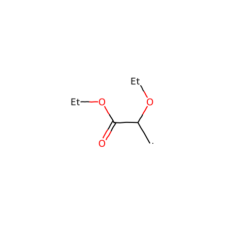 [CH2]C(OCC)C(=O)OCC